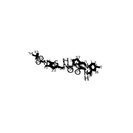 Cc1cccc([C@@H](C)Nc2ncc3n(c2=O)[C@H](C(=O)NCc2cc4c(s2)CN(C(=O)OC(C)(C)C)C4)CC3)c1